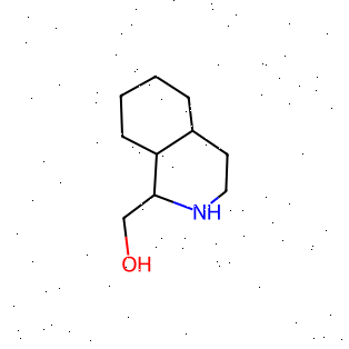 OCC1NCCC2CCCCC21